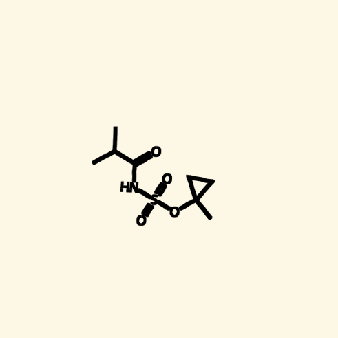 CC(C)C(=O)NS(=O)(=O)OC1(C)CC1